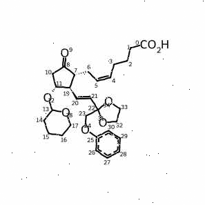 O=C(O)CCC/C=C\C[C@H]1C(=O)C[C@@H](OC2CCCCO2)[C@@H]1/C=C/C1(COc2ccccc2)OCCO1